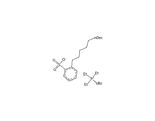 CCCCCCCCCCCCCCCc1ccccc1S(=O)(=O)[O-].CCCC[P+](CC)(CC)CC